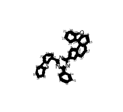 c1ccc(-c2nc(-c3ccc4c(ccc5ccc6oc7ccccc7c6c54)c3)nc(-c3cccc4c3sc3ccccc34)n2)cc1